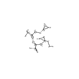 C=C(C)C(=O)OC1(CCC)CC1.C=C(C)C(=O)OCC1CO1